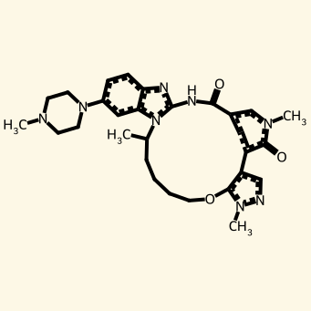 CC1CCCCOc2c(cnn2C)-c2cc(cn(C)c2=O)C(=O)Nc2nc3ccc(N4CCN(C)CC4)cc3n21